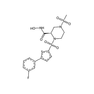 CS(=O)(=O)N1CCN(S(=O)(=O)c2ccc(-c3cccc(F)c3)s2)[C@@H](C(=O)NO)C1